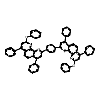 c1ccc(Oc2cc(-c3ccccc3)c3ccc4c(-c5ccccc5)cc(-c5ccc(-c6cc(-c7ccccc7)c7ccc8c(-c9ccccc9)cc(Oc9ccccc9)nc8c7n6)cc5)nc4c3n2)cc1